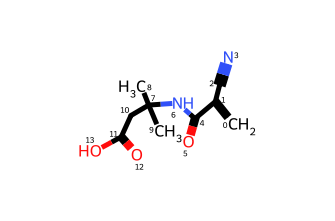 C=C(C#N)C(=O)NC(C)(C)CC(=O)O